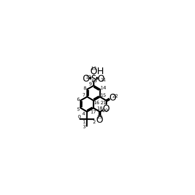 CC(C)(C)c1ccc2cc(S(=O)(=O)O)cc3c2c1C(=O)OC3=O